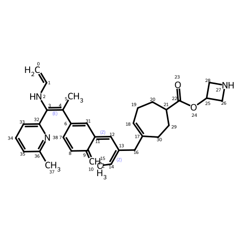 C=CN/C(=C(\C)c1ccc(=C)/c(=C\C(=C/C)CC2=CCCC(C(=O)OC3CNC3)CC2)c1)c1cccc(C)n1